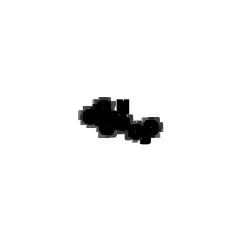 N#Cc1cc(-c2ccc3sc4ccccc4c3c2)cc2c1oc1c(-n3c4ccccc4c4ccccc43)cccc12